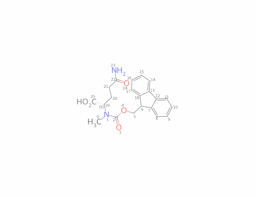 CN(C(=O)OCC1c2ccccc2-c2ccccc21)[C@@H](CCC(N)=O)C(=O)O